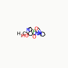 CC[C@@]1(O)CC[C@@](F)(C(=O)NCC2(N3CCOCC3)CCCCC2)c2cccnc21